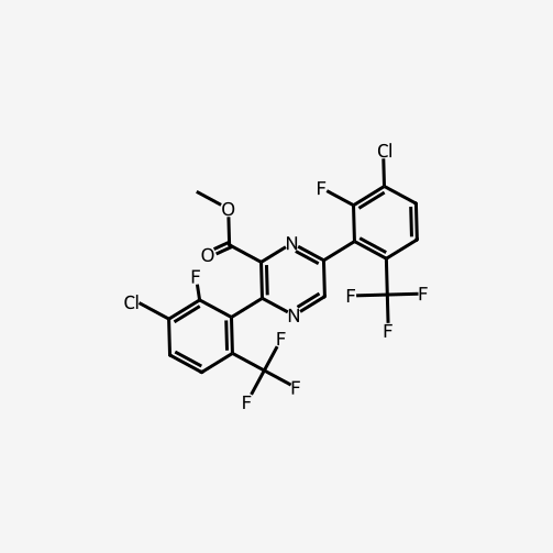 COC(=O)c1nc(-c2c(C(F)(F)F)ccc(Cl)c2F)cnc1-c1c(C(F)(F)F)ccc(Cl)c1F